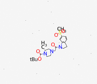 C[C@@H]1CN(CC(=O)N2CCc3ccc(S(C)(=O)=O)cc32)CCN1C(=O)OC(C)(C)C